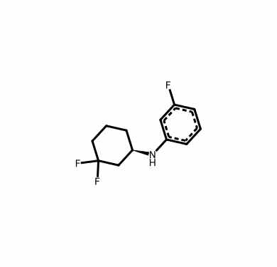 Fc1cccc(N[C@@H]2CCCC(F)(F)C2)c1